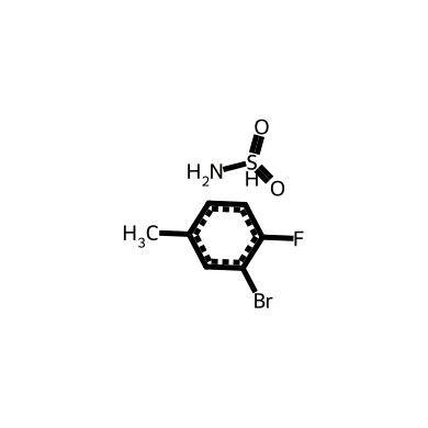 Cc1ccc(F)c(Br)c1.N[SH](=O)=O